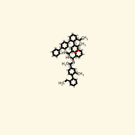 C=Cc1ccccc1-c1ccc(/C(C)=N/C(NC(=N)c2ccc(C)c(-c3c(C=C)cccc3-c3ccc(-c4ccccc4)cc3)c2)c2ccccc2)cc1C